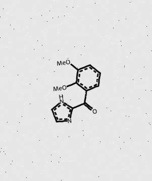 COc1cccc(C(=O)c2ncc[nH]2)c1OC